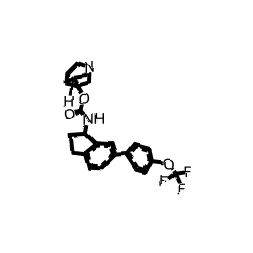 O=C(NC1CCc2ccc(-c3ccc(OC(F)(F)F)cc3)cc21)O[C@H]1CN2CCC1CC2